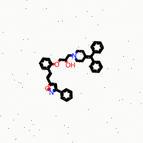 OC(COc1ccccc1/C=C/c1cc(-c2ccccc2)no1)CN1CCC(=C(c2ccccc2)c2ccccc2)CC1